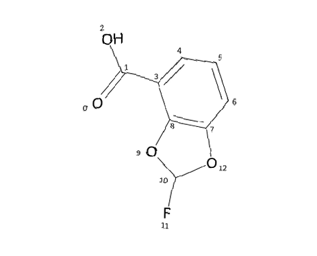 O=C(O)c1cccc2c1OC(F)O2